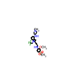 COc1cc(S(C)(=O)=O)ccc1NCC#Cc1cc2c(NC3CCN(C)CC3)cccc2n1CC(F)(F)F